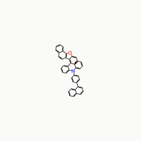 c1ccc(N(c2ccc(-c3cccc4ccccc34)cc2)c2ccccc2-c2cccc3oc4c5ccccc5ccc4c23)cc1